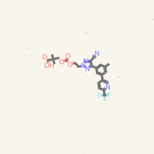 Cc1cc(-c2ccc(C(F)(F)F)nc2)cc(-c2nn(CCOC(=O)OCC(C)(C)C(=O)O)nc2C#N)c1